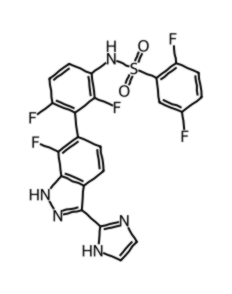 O=S(=O)(Nc1ccc(F)c(-c2ccc3c(-c4ncc[nH]4)n[nH]c3c2F)c1F)c1cc(F)ccc1F